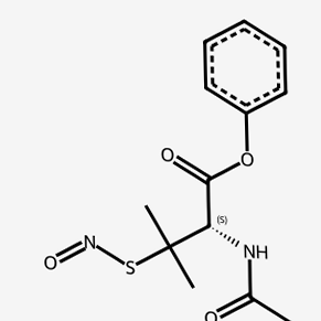 CC(=O)N[C@@H](C(=O)Oc1ccccc1)C(C)(C)SN=O